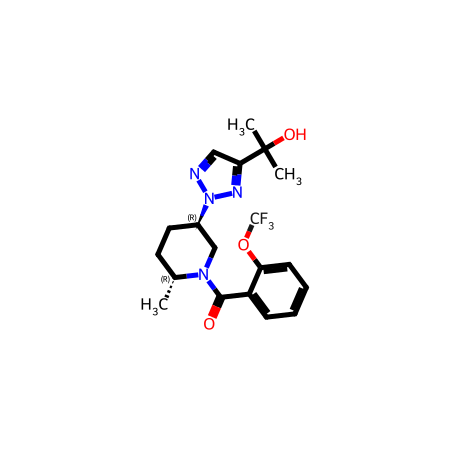 C[C@@H]1CC[C@@H](n2ncc(C(C)(C)O)n2)CN1C(=O)c1ccccc1OC(F)(F)F